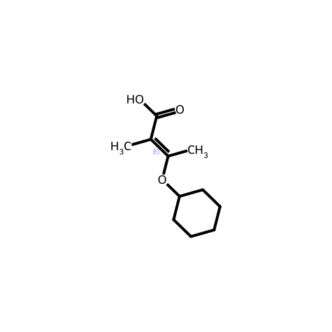 C/C(OC1CCCCC1)=C(/C)C(=O)O